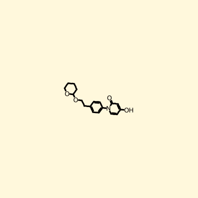 O=c1cc(O)ccn1-c1ccc(CCOC2CCCCO2)cc1